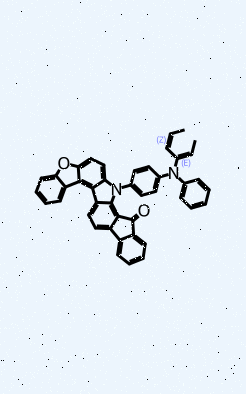 C/C=C\C(=C/C)N(c1ccccc1)c1ccc(-n2c3ccc4oc5ccccc5c4c3c3ccc4c(c32)C(=O)c2ccccc2-4)cc1